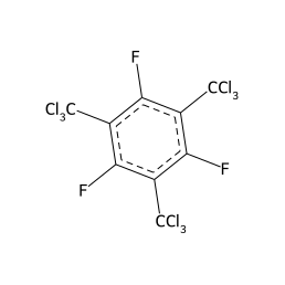 Fc1c(C(Cl)(Cl)Cl)c(F)c(C(Cl)(Cl)Cl)c(F)c1C(Cl)(Cl)Cl